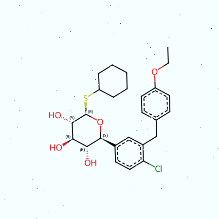 CCOc1ccc(Cc2cc([C@@H]3O[C@H](SC4CCCCC4)[C@@H](O)[C@H](O)[C@H]3O)ccc2Cl)cc1